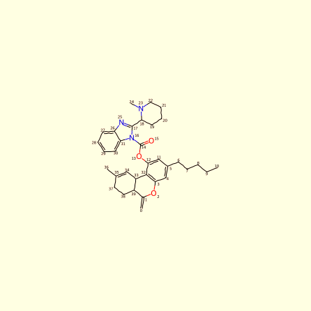 C=C1Oc2cc(CCCCC)cc(OC(=O)n3c(C4CCCCN4C)nc4ccccc43)c2C2C=C(C)CCC12